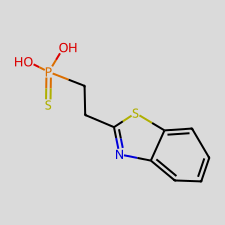 OP(O)(=S)CCc1nc2ccccc2s1